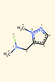 CN(F)Cc1ccnn1C